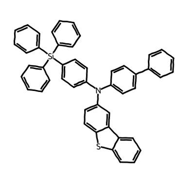 c1ccc(-c2ccc(N(c3ccc([Si](c4ccccc4)(c4ccccc4)c4ccccc4)cc3)c3ccc4sc5ccccc5c4c3)cc2)cc1